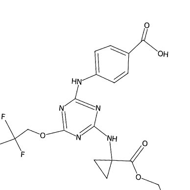 CCOC(=O)C1(Nc2nc(Nc3ccc(C(=O)O)cc3)nc(OCC(F)(F)F)n2)CC1